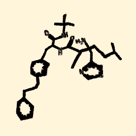 CC(C)CCC(N)(c1cscn1)C(C)C(=O)NC(Cc1ccc(CCc2ccccc2)cc1)C(=O)NC(C)(C)C